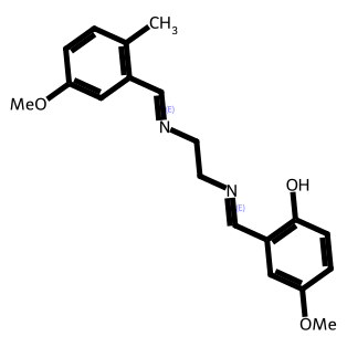 COc1ccc(C)c(/C=N/CC/N=C/c2cc(OC)ccc2O)c1